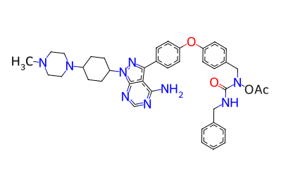 CC(=O)ON(Cc1ccc(Oc2ccc(-c3nn(C4CCC(N5CCN(C)CC5)CC4)c4ncnc(N)c34)cc2)cc1)C(=O)NCc1ccccc1